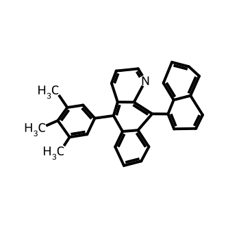 Cc1cc(-c2c3ccccc3c(-c3cccc4ccccc34)c3ncccc23)cc(C)c1C